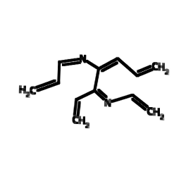 C=C\C=N/C(=C/C=C)C(/C=C)=N\C=C